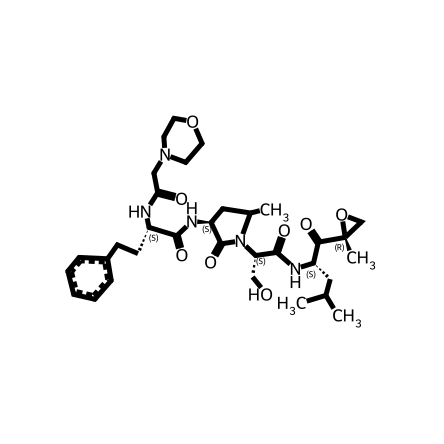 CC(C)C[C@H](NC(=O)[C@H](CO)N1C(=O)[C@@H](NC(=O)[C@H](CCc2ccccc2)NC(=O)CN2CCOCC2)CC1C)C(=O)[C@@]1(C)CO1